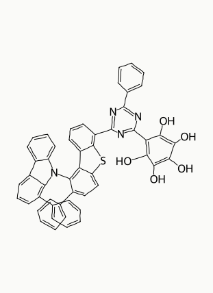 Oc1c(O)c(O)c(-c2nc(-c3ccccc3)nc(-c3cccc4c3sc3ccc(-c5ccccc5)c(-n5c6ccccc6c6cccc(-c7ccccc7)c65)c34)n2)c(O)c1O